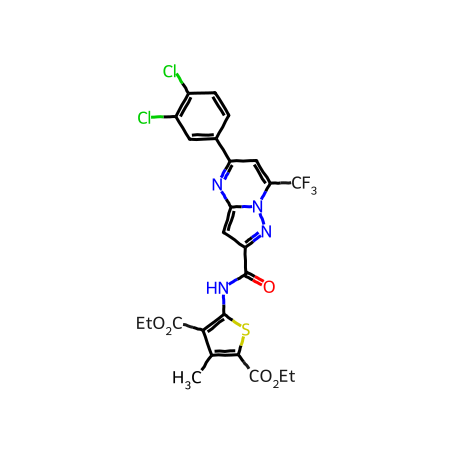 CCOC(=O)c1sc(NC(=O)c2cc3nc(-c4ccc(Cl)c(Cl)c4)cc(C(F)(F)F)n3n2)c(C(=O)OCC)c1C